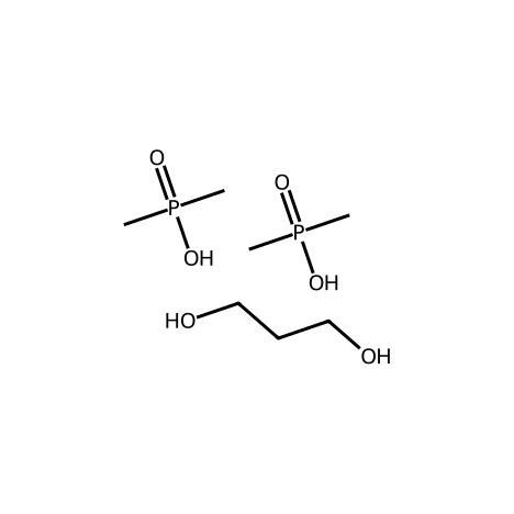 CP(C)(=O)O.CP(C)(=O)O.OCCCO